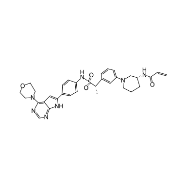 C=CC(=O)N[C@@H]1CCCN(c2cccc([C@H](C)S(=O)(=O)Nc3ccc(-c4cc5c(N6CCOCC6)ncnc5[nH]4)cc3)c2)C1